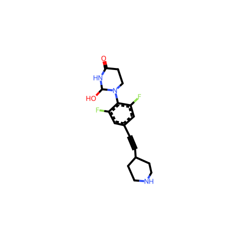 O=C1CCN(c2c(F)cc(C#CC3CCNCC3)cc2F)C(O)N1